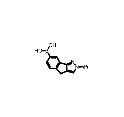 CC(C)n1cc2c(n1)-c1cc(B(O)O)ccc1C2